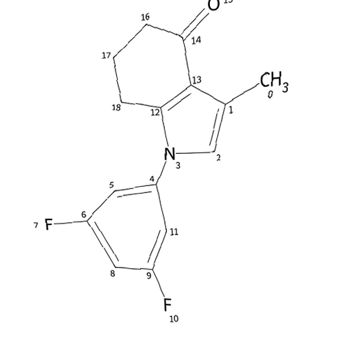 Cc1cn(-c2cc(F)cc(F)c2)c2c1C(=O)CCC2